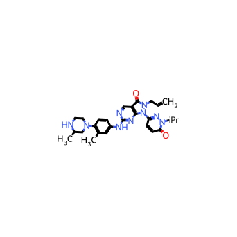 C=CCn1c(=O)c2cnc(Nc3ccc(N4CCNC(C)C4)c(C)c3)nc2n1-c1ccc(=O)n(C(C)C)n1